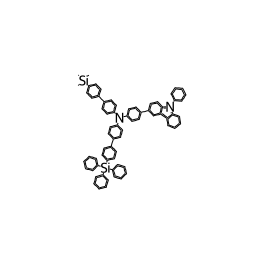 C[Si](C)(C)c1ccc(-c2ccc(N(c3ccc(-c4ccc([Si](c5ccccc5)(c5ccccc5)c5ccccc5)cc4)cc3)c3ccc(-c4ccc5c(c4)c4ccccc4n5-c4ccccc4)cc3)cc2)cc1